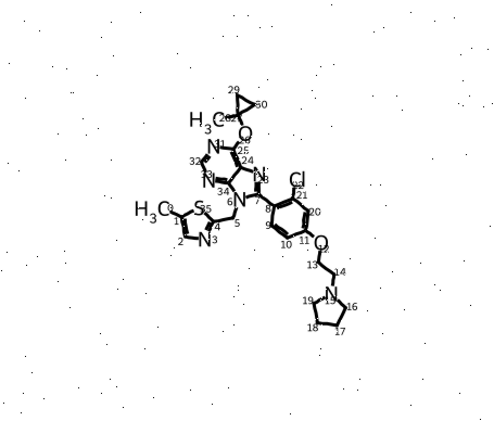 Cc1cnc(Cn2c(-c3ccc(OCCN4CCCC4)cc3Cl)nc3c(OC4(C)CC4)ncnc32)s1